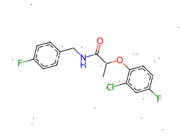 CC(Oc1ccc(F)cc1Cl)C(=O)NCc1ccc(F)cc1